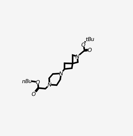 CCCCOC(=O)CN1CCN(C2CC3(C2)CN(C(=O)OC(C)(C)C)C3)CC1